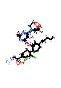 CCCC#Cc1ccc(-c2ccc(C(O)CN)c(F)c2F)c(Oc2cc(N3CCOCC3)nc(C)n2)c1